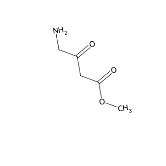 COC(=O)CC(=O)CN